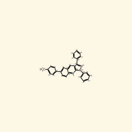 Cc1ccc(-c2ccc3nc4c(cc3c2)c(-c2ccccc2)nn4-c2ccccc2)cc1